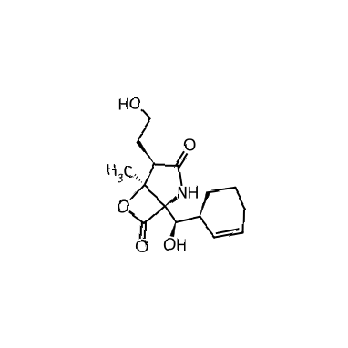 C[C@@]12OC(=O)[C@]1([C@H](O)[C@@H]1C=CCCC1)NC(=O)[C@@H]2CCO